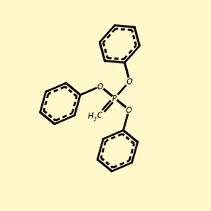 C=P(Oc1ccccc1)(Oc1ccccc1)Oc1ccccc1